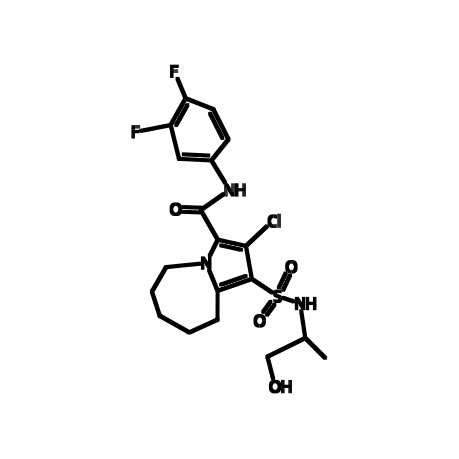 CC(CO)NS(=O)(=O)c1c(Cl)c(C(=O)Nc2ccc(F)c(F)c2)n2c1CCCCC2